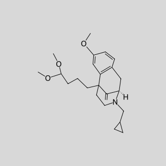 C=C1[C@H]2Cc3ccc(OC)cc3C1(CCCC(OC)OC)CCN2CC1CC1